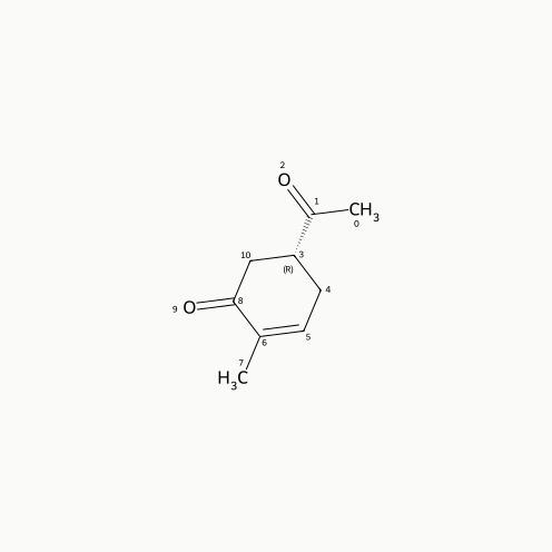 CC(=O)[C@@H]1CC=C(C)C(=O)C1